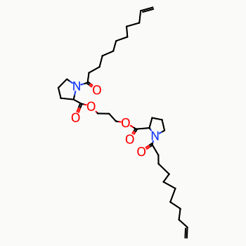 C=CCCCCCCCCC(=O)N1CCCC1C(=O)OCCCOC(=O)C1CCCN1C(=O)CCCCCCCCC=C